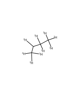 [2H][C](C([2H])([2H])[2H])C([2H])([2H])C([2H])([2H])[2H]